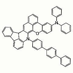 CC12c3ccccc3-c3cccc(c31)N(c1ccc(-c3ccc(-c4ccccc4)cc3)cc1)c1c2cc2cccc3c2c1Oc1ccc(N(c2ccccc2)C2C=CC=CC2)cc1-3